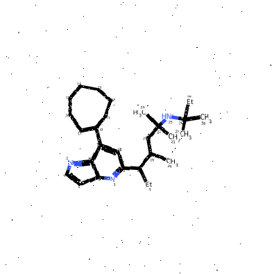 CCC(C1=NC2C=CN=C2C(C2CCCCCCC2)=C1)C(C)CC(C)(C)NC(C)(C)CC